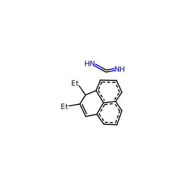 CCC1=Cc2cccc3cccc(c23)C1CC.N=C=N